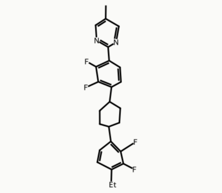 CCc1ccc(C2CCC(c3ccc(-c4ncc(C)cn4)c(F)c3F)CC2)c(F)c1F